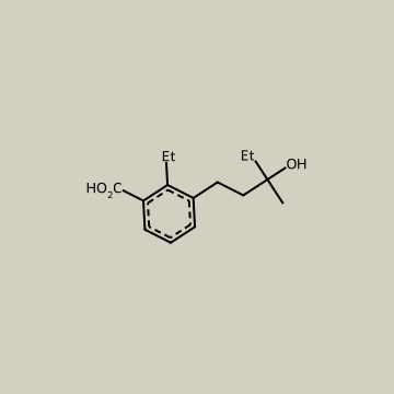 CCc1c(CCC(C)(O)CC)cccc1C(=O)O